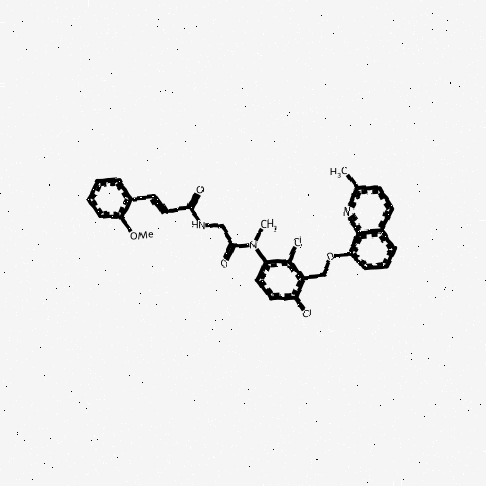 COc1ccccc1C=CC(=O)NCC(=O)N(C)c1ccc(Cl)c(COc2cccc3ccc(C)nc23)c1Cl